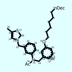 Br.CCCCCCCCCCCCCCCCOc1cccc(CN(C(C)=O)c2cccc(CN3C=C(C)SC3)c2)c1